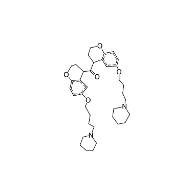 O=C(C1CCOc2ccc(OCCCCN3CCCCC3)cc21)C1CCOc2ccc(OCCCCN3CCCCC3)cc21